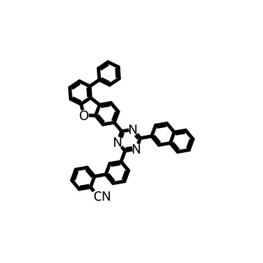 N#Cc1ccccc1-c1cccc(-c2nc(-c3ccc4ccccc4c3)nc(-c3ccc4c(c3)oc3cccc(-c5ccccc5)c34)n2)c1